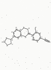 Cc1cc(C#N)cnc1N1CCc2ncc(C3CCOC3)cc2C1